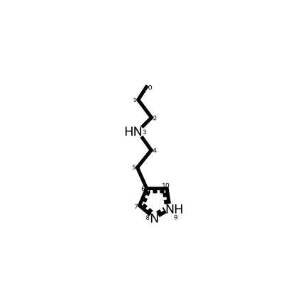 CCCNCCc1cn[nH]c1